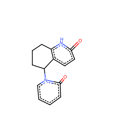 O=c1ccc2c([nH]1)CCCC2n1ccccc1=O